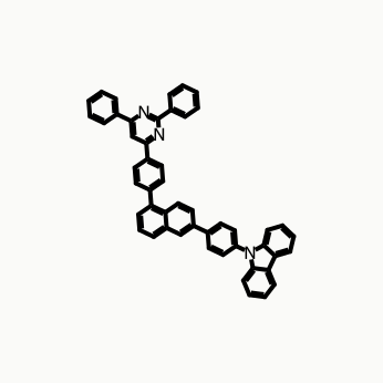 c1ccc(-c2cc(-c3ccc(-c4cccc5cc(-c6ccc(-n7c8ccccc8c8ccccc87)cc6)ccc45)cc3)nc(-c3ccccc3)n2)cc1